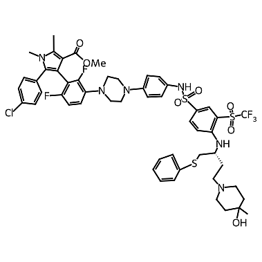 COC(=O)c1c(-c2c(F)ccc(N3CCN(c4ccc(NS(=O)(=O)c5ccc(N[C@H](CCN6CCC(C)(O)CC6)CSc6ccccc6)c(S(=O)(=O)C(F)(F)F)c5)cc4)CC3)c2F)c(-c2ccc(Cl)cc2)n(C)c1C